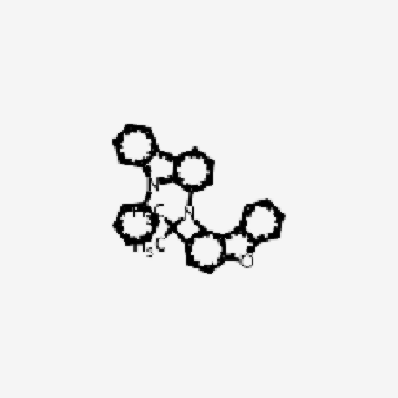 CC1(C)c2ccc3oc4ccccc4c3c2N1c1cccc2c3ccccc3n(-c3ccccc3)c12